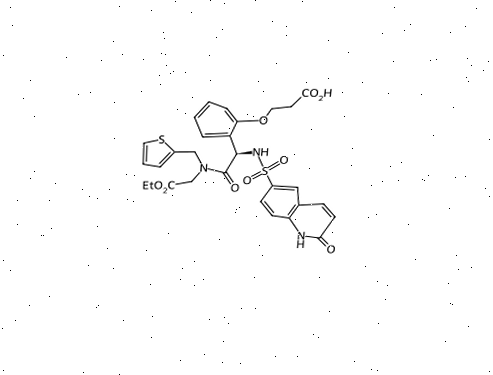 CCOC(=O)CN(Cc1cccs1)C(=O)[C@H](NS(=O)(=O)c1ccc2[nH]c(=O)ccc2c1)c1ccccc1OCCC(=O)O